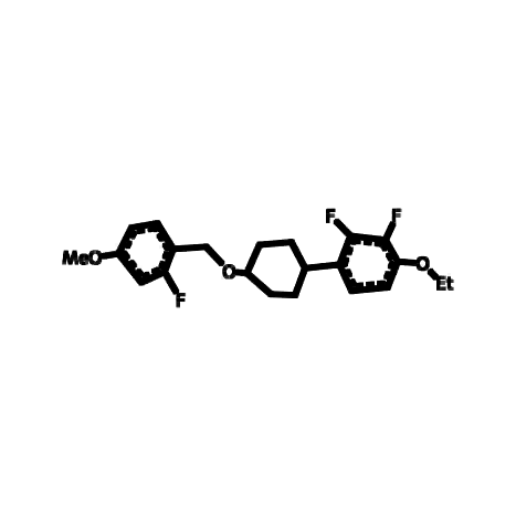 CCOc1ccc(C2CCC(OCc3ccc(OC)cc3F)CC2)c(F)c1F